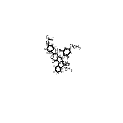 COc1cc(F)c([C@@H]2CN(c3ccccc3P(C)(C)=O)C(=O)[C@H]2NC(=O)c2ccc(OC(F)F)cc2)c(F)c1